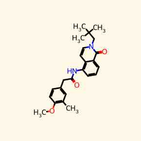 COc1ccc(CC(=O)Nc2cccc3c(=O)n(CC(C)(C)C)ccc23)cc1C